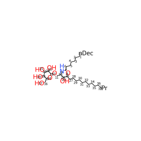 CCCCCCCCCCCCCCCCC(=O)NC(COC1OC(CO)C(O)C(O)C1O)C(O)CCCCCCCCCCCC(C)C